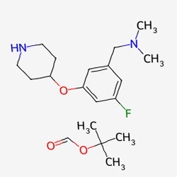 CC(C)(C)OC=O.CN(C)Cc1cc(F)cc(OC2CCNCC2)c1